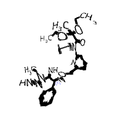 CCOC(C)(OCC)C(=O)Nc1cccc(CO/N=C(\C(=N)N(C)N=N)c2ccccc2)n1